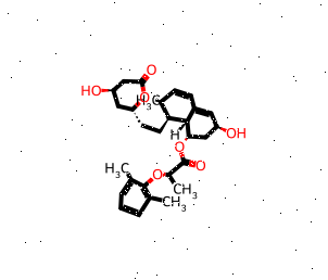 Cc1cccc(C)c1OC(C)C(=O)O[C@H]1C[C@H](O)C=C2C=C[C@H](C)[C@H](CC[C@@H]3C[C@@H](O)CC(=O)O3)[C@H]21